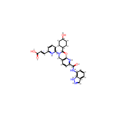 O=C(O)/C=C/c1cccc(N(Cc2ccc(C(=O)Nc3cccc4cn[nH]c34)nc2)C(=O)C2CCC(O)CC2)n1